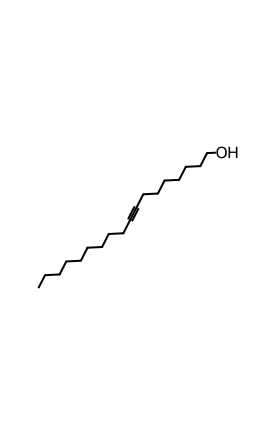 CCCCCCCCCC#CCCCCCCCO